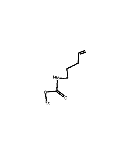 C=CCCCNC(=O)OCC